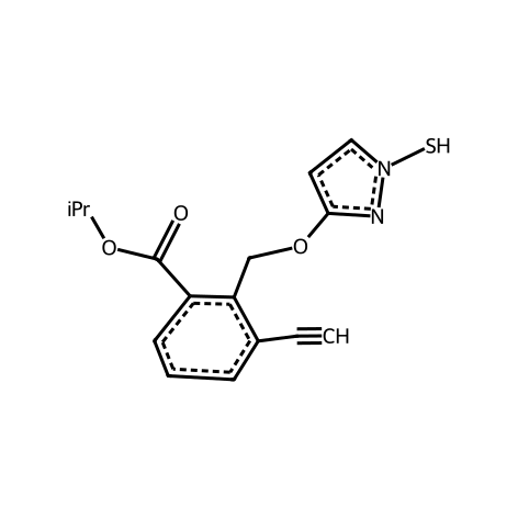 C#Cc1cccc(C(=O)OC(C)C)c1COc1ccn(S)n1